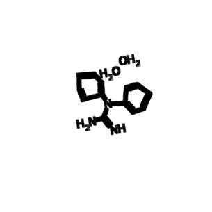 N=C(N)N(c1ccccc1)c1ccccc1.O.O